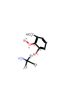 CCC(N)(CC)CC.O=C(O)c1cccc(Br)c1OBr